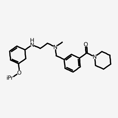 CC(C)OC1=CC=CC(NCCN(C)Cc2cccc(C(=O)N3CCCCC3)c2)C1